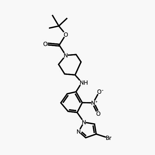 CC(C)(C)OC(=O)N1CCC(Nc2cccc(-n3cc(Br)cn3)c2[N+](=O)[O-])CC1